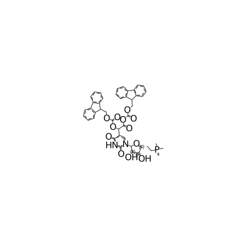 C=P(C)(C)CC[C@H]1OC(n2cc(C(OC(=O)OCC3c4ccccc4-c4ccccc43)C(=O)OC(=O)OCC3c4ccccc4-c4ccccc43)c(=O)[nH]c2=O)[C@H](O)[C@@H]1O